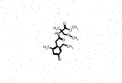 CCc1cc(Br)cc(C)c1CC(=O)NC(C)(COC)C(=O)OC